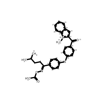 CC(=O)ON=C(CCC(C)C)c1ccc(Sc2ccc(C(=O)c3cc4ccccc4n3C)cc2)cc1